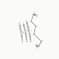 NCCC[CH2][Sn].O=C=S.O=C=S.O=C=S